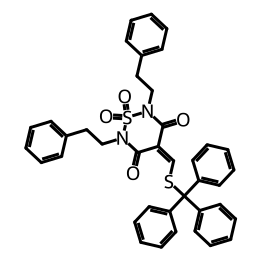 O=C1C(=CSC(c2ccccc2)(c2ccccc2)c2ccccc2)C(=O)N(CCc2ccccc2)S(=O)(=O)N1CCc1ccccc1